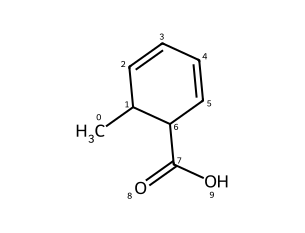 CC1C=CC=CC1C(=O)O